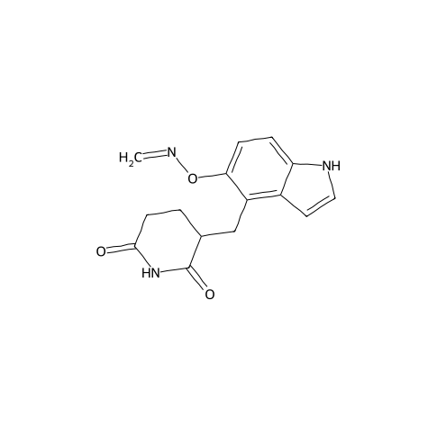 C=NOc1ccc2[nH]ccc2c1CC1CCC(=O)NC1=O